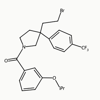 CC(C)Oc1cccc(C(=O)N2CCC(CCBr)(c3ccc(C(F)(F)F)cc3)C2)c1